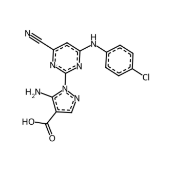 N#Cc1cc(Nc2ccc(Cl)cc2)nc(-n2ncc(C(=O)O)c2N)n1